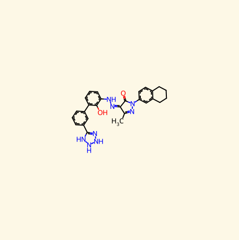 CC1=NN(c2ccc3c(c2)CCCC3)C(=O)/C1=N\Nc1cccc(-c2cccc(C3=NNNN3)c2)c1O